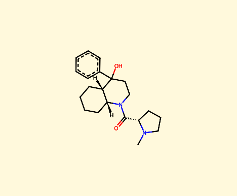 CN1CCC[C@H]1C(=O)N1CCC(O)(c2ccccc2)[C@H]2CCCC[C@H]21